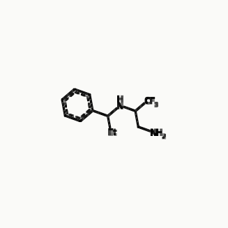 CCC(NC(CN)C(F)(F)F)c1ccccc1